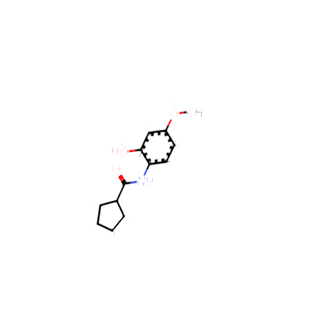 COc1ccc(NC(=O)C2CCCC2)c(O)c1